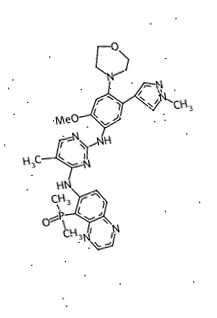 COc1cc(N2CCOCC2)c(-c2cnn(C)c2)cc1Nc1ncc(C)c(Nc2ccc3nccnc3c2P(C)(C)=O)n1